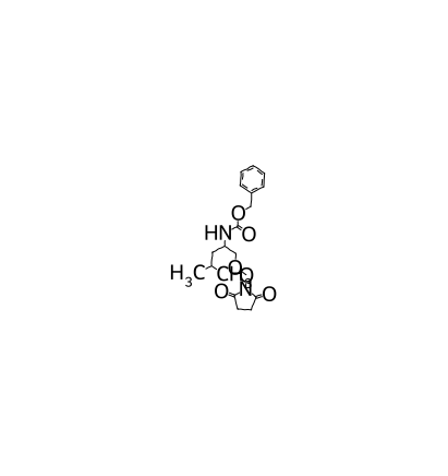 CC(C)CC(COON1C(=O)CCC1=O)NC(=O)OCc1ccccc1